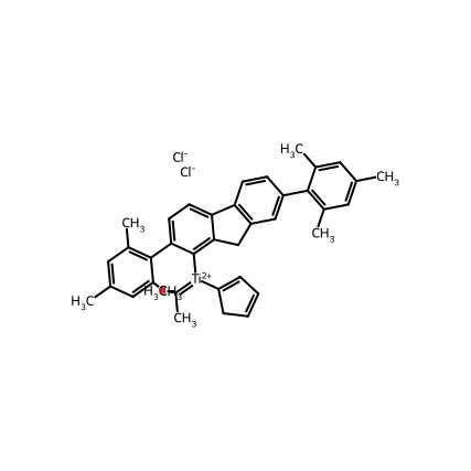 C[C](C)=[Ti+2]([C]1=CC=CC1)[c]1c(-c2c(C)cc(C)cc2C)ccc2c1Cc1cc(-c3c(C)cc(C)cc3C)ccc1-2.[Cl-].[Cl-]